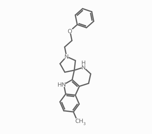 Cc1ccc2[nH]c3c(c2c1)CCNC31CCN(CCOc2ccccc2)C1